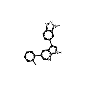 Cc1ccccc1-c1cnc2[nH]cc(-c3ccc4nnn(C)c4c3)c2c1